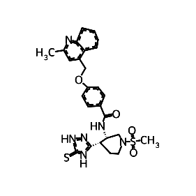 Cc1cc(COc2ccc(C(=O)N[C@@H]3CN(S(C)(=O)=O)CC[C@@H]3c3n[nH]c(=S)[nH]3)cc2)c2ccccc2n1